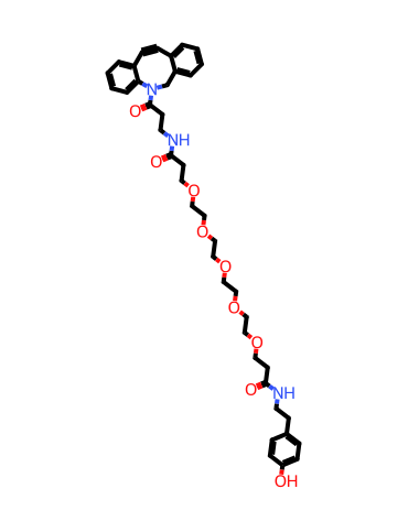 O=C(CCOCCOCCOCCOCCOCCC(=O)NCCc1ccc(O)cc1)NCCC(=O)N1Cc2ccccc2C#Cc2ccccc21